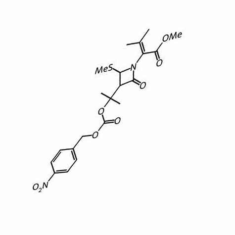 COC(=O)C(=C(C)C)N1C(=O)C(C(C)(C)OC(=O)OCc2ccc([N+](=O)[O-])cc2)C1SC